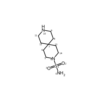 NS(=O)(=O)N1CCC2(CCNCC2)CC1